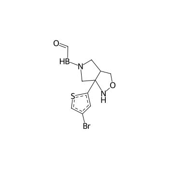 O=CBN1CC2CONC2(c2cc(Br)cs2)C1